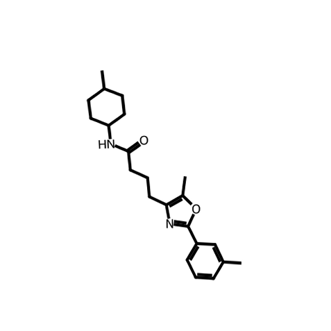 Cc1cccc(-c2nc(CCCC(=O)NC3CCC(C)CC3)c(C)o2)c1